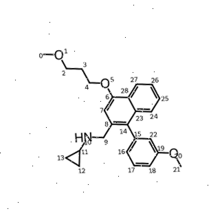 COCCCOc1cc(CNC2CC2)c(-c2cccc(OC)c2)c2ccccc12